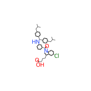 CC(C)Cc1ccc(C(Nc2cccc(C(=O)n3cc(CCCC(=O)O)c4cc(Cl)ccc43)c2)c2ccc(CC(C)C)cc2)cc1